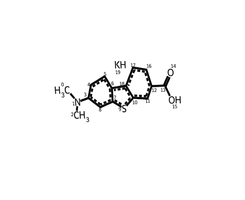 CN(C)c1ccc2c(c1)sc1cc(C(=O)O)ccc12.[KH]